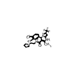 CC1=C(C(=O)NCCN2CCCC2)C(c2ccc(Cl)c(Cl)c2)n2nc(C(F)(F)F)cc2N1